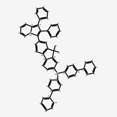 CC1(C)c2cc(-c3c(-c4ccccc4)c(-c4ccccc4)c4ccccn34)ccc2-c2ccc(N(c3ccc(-c4ccccc4)cc3)c3ccc(-c4ccccc4)cc3)cc21